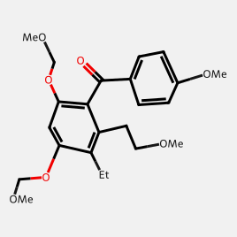 CCc1c(OCOC)cc(OCOC)c(C(=O)c2ccc(OC)cc2)c1CCOC